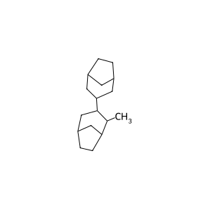 CC1C2CCC(C2)CC1C1CC2CCC(C2)C1